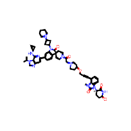 CC(C)n1cnc2cc(-c3ccc4c(c3)N(C3CC(N5CCCCC5)C3)C(=O)C43CCN(C(=O)CN4CCC(OCC#Cc5cccc6c5n(C)c(=O)n6[C@@H]5CCC(=O)NC5=O)CC4)CC3)nc(NC3CC3)c21